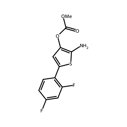 COC(=O)Oc1cc(-c2ccc(F)cc2F)sc1N